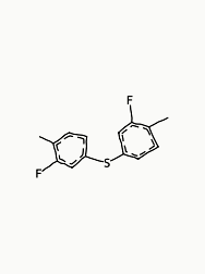 Cc1ccc(Sc2ccc(C)c(F)c2)cc1F